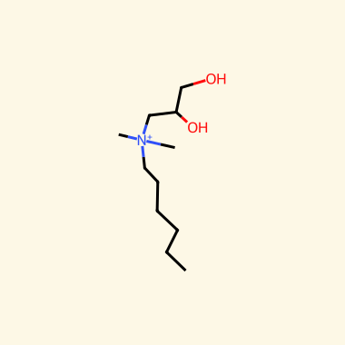 CCCCCC[N+](C)(C)CC(O)CO